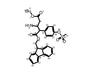 CC(C)(C)OC(=O)CC(N)C(C(=O)OCC1c2ccccc2-c2ccccc21)c1ccc(OS(C)(=O)=O)cc1